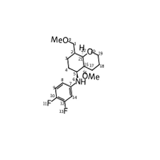 COCC1CC[C@H](Nc2ccc(F)c(F)c2)[C@]2(OC)CCCO[C@H]12